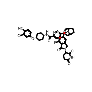 N#Cc1ccc(O[C@H]2CC[C@H](NC(=O)c3ccc(N4CC5CCC(C4)N5Cc4cc(F)c5c(c4)CN(C4CCC(=O)NC4=O)C5=O)nn3)CC2)cc1Cl